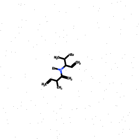 C=CC(C)C(=C)N(CC)C(C=C)C(C)CCCC